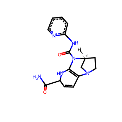 NC(=O)C1C=CC2=C(N1)N(C(=O)Nc1ccccn1)[C@H]1CCN2C1